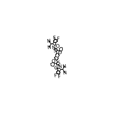 N#CC(C#N)=C1/C(=N/c2cc3c(s2)C2=CC4C=C5OC6(CCCCC6)c6cc(/N=C7\C(=O)c8cc(F)c(F)cc8C7=C(C#N)C#N)sc6C5=CC4C=C2OC32CCCCC2)C(=O)c2cc(F)c(F)cc21